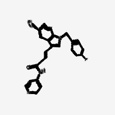 O=C(CCc1cn(Cc2ccc(F)cc2)c2ccc(Cl)cc12)Nc1ccncc1